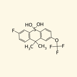 CC1(C)c2cc(OC(F)(F)F)ccc2S(O)(O)c2cc(F)ccc21